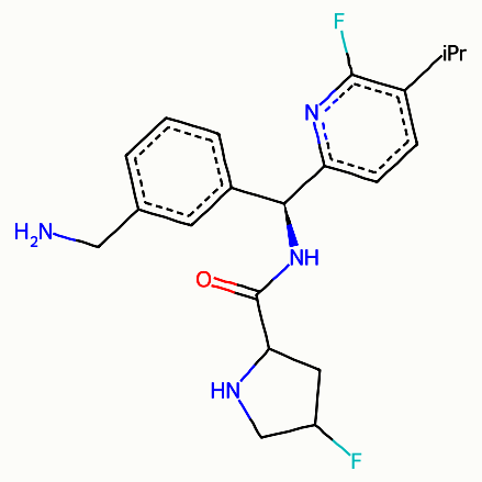 CC(C)c1ccc([C@@H](NC(=O)C2CC(F)CN2)c2cccc(CN)c2)nc1F